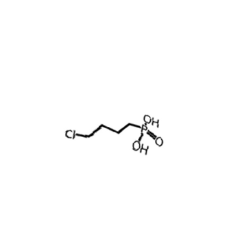 O=P(O)(O)CCCCCl